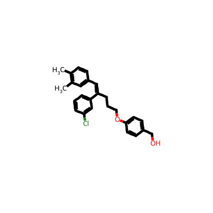 Cc1ccc(C=C(CCCOc2ccc(CO)cc2)c2cccc(Cl)c2)cc1C